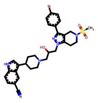 CS(=O)(=O)N1CCc2c(c(-c3ccc(Br)cc3)nn2CC(O)CN2CCC(c3c[nH]c4ccc(C#N)cc34)CC2)C1